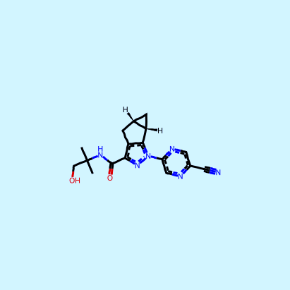 CC(C)(CO)NC(=O)c1nn(-c2cnc(C#N)cn2)c2c1C[C@@H]1C[C@H]21